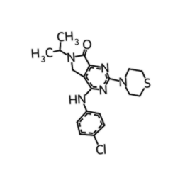 CC(C)N1Cc2c(Nc3ccc(Cl)cc3)nc(N3CCSCC3)nc2C1=O